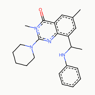 Cc1cc(C(C)Nc2ccccc2)c2nc(N3CCCCC3)n(C)c(=O)c2c1